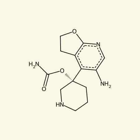 NC(=O)O[C@]1(c2c(N)cnc3c2CCO3)CCCNC1